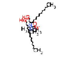 CCCCCCCCCCCCC(CCO)N(C(CCO)CCCCCCCCCCCC)C(C(=O)[O-])[N+](C)(C)C